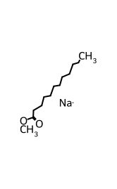 CCCCCCCCCCCC(=O)OC.[Na]